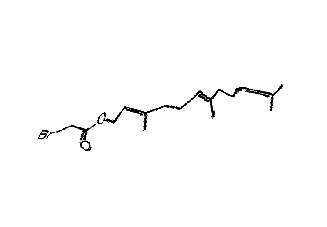 CC(C)=CCC/C(C)=C/CC/C(C)=C/COC(=O)CBr